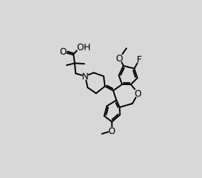 COc1ccc2c(c1)COc1cc(F)c(OC)cc1C2=C1CCN(CC(C)(C)C(=O)O)CC1